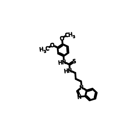 COc1ccc(NC(=S)NCCCn2cnc3ccccc32)cc1OC